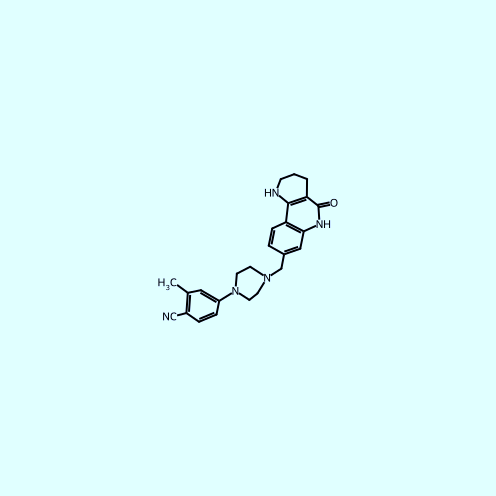 Cc1cc(N2CCN(Cc3ccc4c5c(c(=O)[nH]c4c3)CCCN5)CC2)ccc1C#N